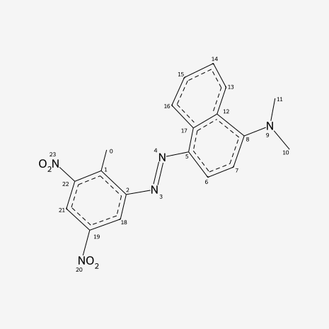 Cc1c(N=Nc2ccc(N(C)C)c3ccccc23)cc([N+](=O)[O-])cc1[N+](=O)[O-]